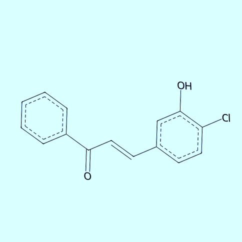 O=C(C=Cc1ccc(Cl)c(O)c1)c1ccccc1